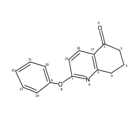 O=C1CCCc2nc(Oc3ccccc3)ccc21